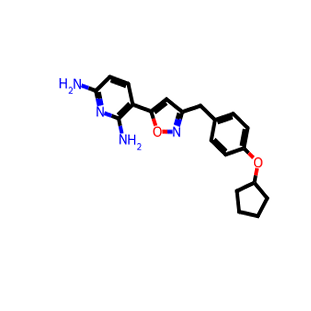 Nc1ccc(-c2cc(Cc3ccc(OC4CCCC4)cc3)no2)c(N)n1